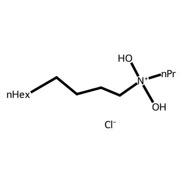 CCCCCCCCCC[N+](O)(O)CCC.[Cl-]